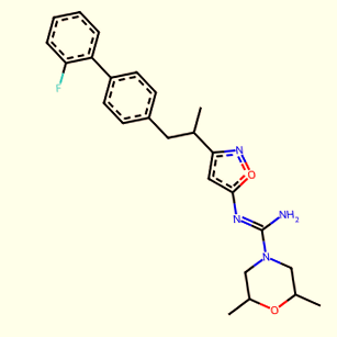 CC1CN(C(N)=Nc2cc(C(C)Cc3ccc(-c4ccccc4F)cc3)no2)CC(C)O1